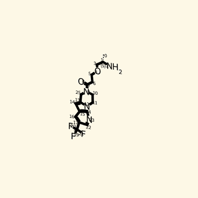 C[C@H](N)COCCC(=O)N1CCn2c(cc3cc(C(F)(F)F)cnc32)C1